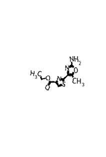 CCOC(=O)c1csc(-c2nc(N)oc2C)n1